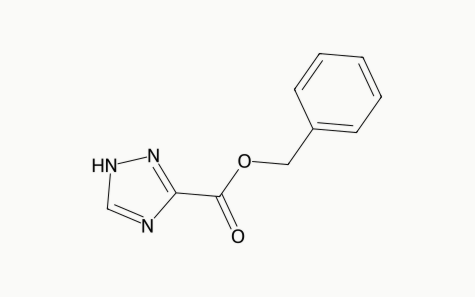 O=C(OCc1ccccc1)c1nc[nH]n1